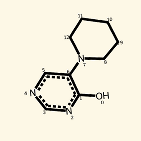 Oc1ncncc1N1C[CH]CCC1